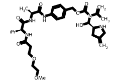 C=C1CN[C@H](C(O)N(C(=C)C)C(=O)OCc2ccc(NC(=O)[C@H](C)NC(=O)[C@@H](NC(=O)CCOCCOC)C(C)C)cc2)C1